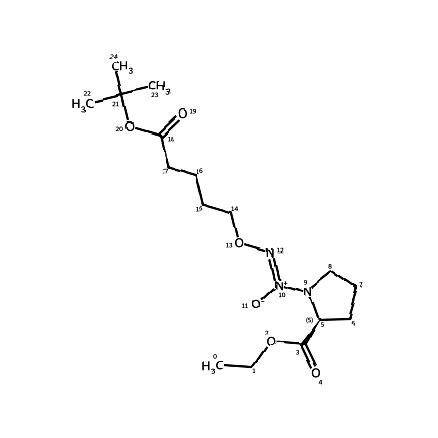 CCOC(=O)[C@@H]1CCCN1[N+]([O-])=NOCCCCC(=O)OC(C)(C)C